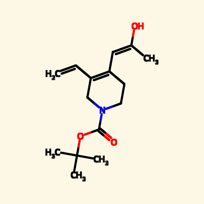 C=CC1=C(/C=C(\C)O)CCN(C(=O)OC(C)(C)C)C1